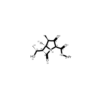 CCCOC(=O)C1C(=O)[C@H](C)[C@@H]2[C@@H]([C@@H](C)O)C(=O)N12